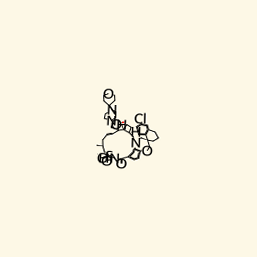 CO[C@@]1(CN2CCN(C3CCOCC3)CC2)/C=C/C[C@H](C)[C@@H](C)S(=O)(=O)NC(=O)c2ccc3c(c2)N(C[C@@H]2CC[C@H]21)C[C@@]1(CCCc2cc(Cl)ccc21)CO3